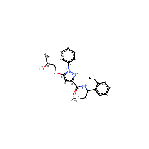 Cc1ccccc1C(CC(=O)O)NC(=O)c1cc(OCC(O)C(C)(C)C)n(-c2ccccc2)n1